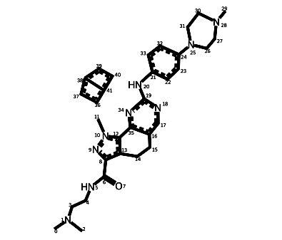 CN(C)CCNC(=O)c1nn(C)c2c1CCc1cnc(Nc3ccc(N4CCN(C)CC4)cc3)nc1-2.c1cc2ccc1-2